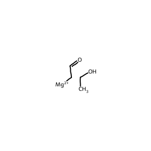 CCO.O=C[CH2][Mg+2]